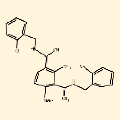 CNc1ccc(C(C)NCc2ccccc2Cl)c(C)c1C(C)NCc1ccccc1Cl